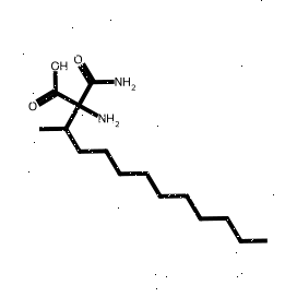 CCCCCCCCCCC(C)C(N)(C(N)=O)C(=O)O